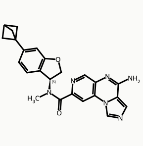 CN(C(=O)c1cc2c(cn1)nc(N)c1cncn12)[C@@H]1COc2cc(C34CC(C3)C4)ccc21